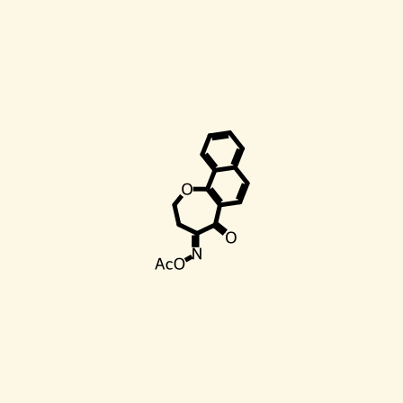 CC(=O)O/N=C1\CCOc2c(ccc3ccccc23)C1=O